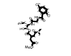 COC(=O)CC(CC(=O)N(C)C)C(=O)OB(O)[C@H](CC(C)C)NC(=O)CNC(=O)c1cc(Cl)ccc1Cl